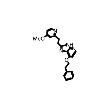 COc1ccnc(CCc2nc3c(OCCc4ccccc4)ccnc3[nH]2)c1